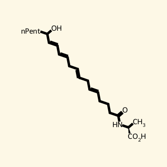 CCCCCC(O)C=CC=CCC=CCC=CCCCC(=O)N[C@@H](C)C(=O)O